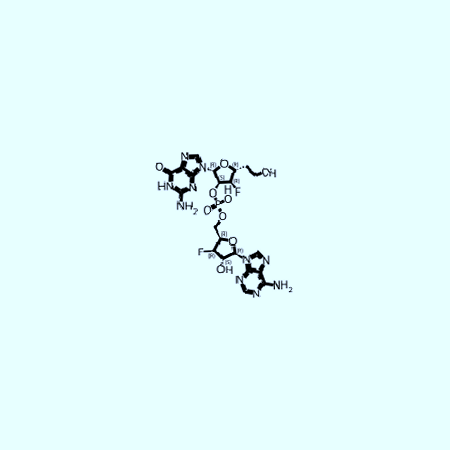 Nc1nc2c(ncn2[C@@H]2O[C@H](CCO)[C@@H](F)[C@H]2OP(=O)(O)OC[C@H]2O[C@@H](n3cnc4c(N)ncnc43)[C@H](O)[C@H]2F)c(=O)[nH]1